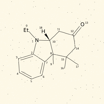 CCN1c2ccccc2C2(C)[C@H]1CC(=O)CC2(C)C